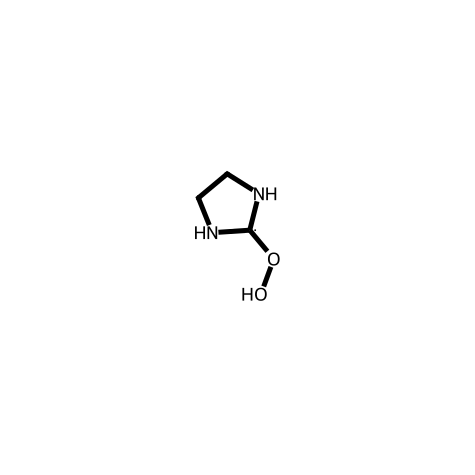 OO[C]1NCCN1